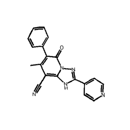 Cc1c(-c2ccccc2)c(=O)n2nc(-c3ccncc3)[nH]c2c1C#N